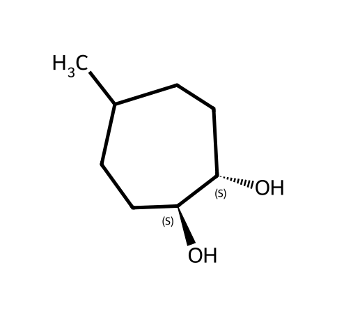 CC1CC[C@H](O)[C@@H](O)CC1